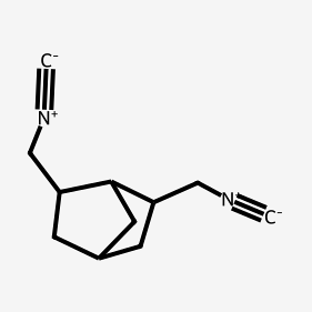 [C-]#[N+]CC1CC2CC(C[N+]#[C-])C1C2